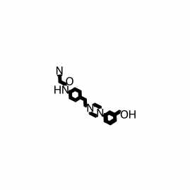 N#CCC(=O)NC1CCC(CCN2CCN(c3cccc(CO)c3)CC2)CC1